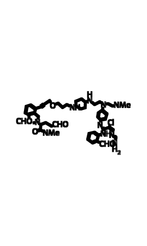 CNCCN(CCNC1CCC(NCCCOCC#Cc2cccc(C=O)c2CN(C)C(CCC=O)C(=O)NC)CC1)c1ccc(\N=C(Nc2ccccc2C=O)/C(Cl)=C\N=C\N)cc1